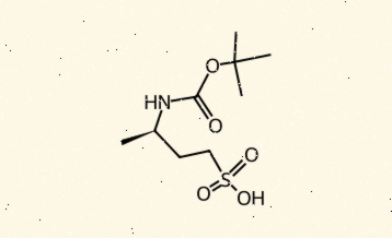 C[C@H](CCS(=O)(=O)O)NC(=O)OC(C)(C)C